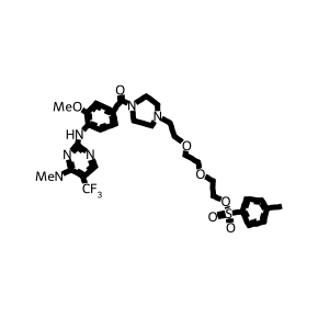 CNc1nc(Nc2ccc(C(=O)N3CCN(CCOCCOCCOS(=O)(=O)c4ccc(C)cc4)CC3)cc2OC)ncc1C(F)(F)F